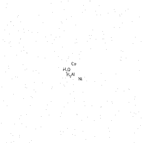 O.[AlH3].[Co].[Ni]